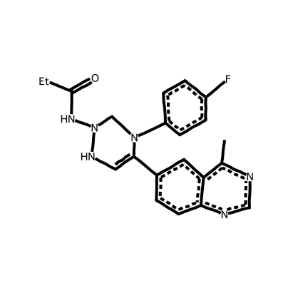 CCC(=O)NN1CN(c2ccc(F)cc2)C(c2ccc3ncnc(C)c3c2)=CN1